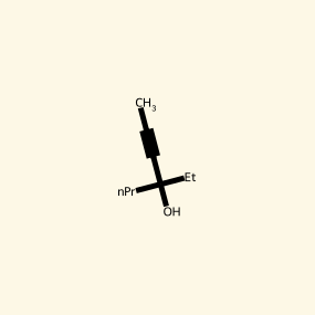 CC#CC(O)(CC)CCC